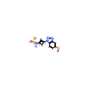 COc1ccc2c(c1)nnn2C12CC(N[SH](=O)=O)(C1)C2